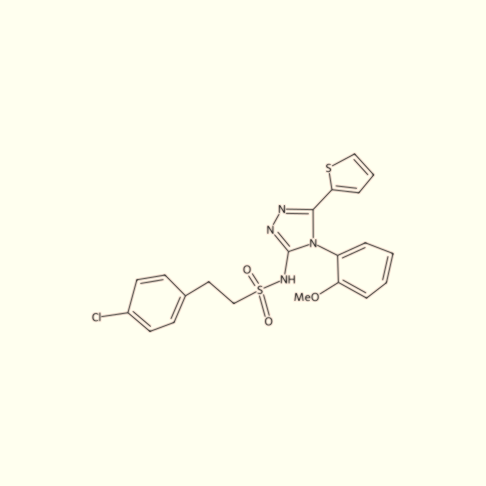 COc1ccccc1-n1c(NS(=O)(=O)CCc2ccc(Cl)cc2)nnc1-c1cccs1